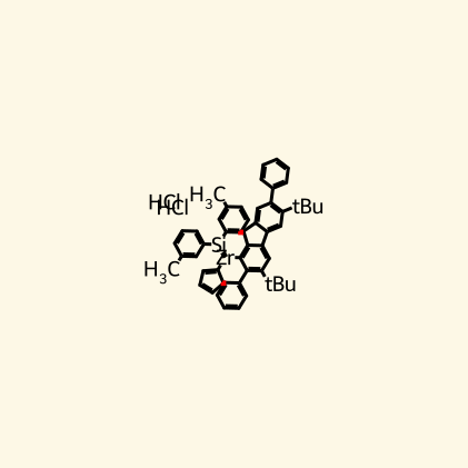 Cc1cccc([Si](c2cccc(C)c2)=[Zr]([C]2=CC=CC2)[c]2c3c(cc(C(C)(C)C)c2-c2ccccc2)-c2cc(C(C)(C)C)c(-c4ccccc4)cc2C3)c1.Cl.Cl